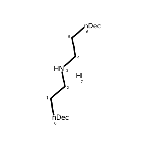 CCCCCCCCCCCCNCCCCCCCCCCCC.I